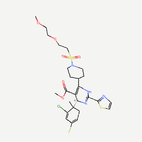 COCCOCCS(=O)(=O)N1CCC(C2=C(C(=O)OC)[C@@H](C3(C)CC=C(F)C=C3Cl)N=C(c3nccs3)N2)CC1